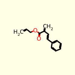 C=CCOC(=O)C(=C)C=Cc1ccccc1